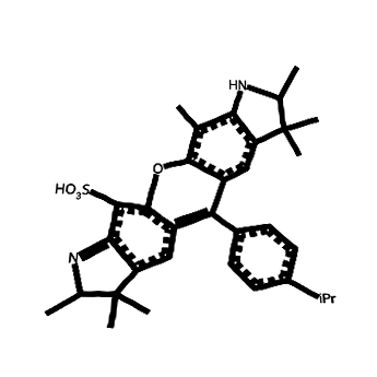 Cc1c2c(cc3c1Oc1c(S(=O)(=O)O)c4c(cc1=C3c1ccc(C(C)C)cc1)C(C)(C)C(C)N=4)C(C)(C)C(C)N2